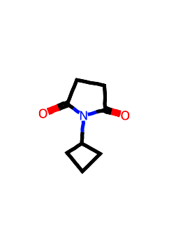 O=C1CCC(=O)N1C1CCC1